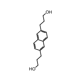 OCCCc1ccc2cc(CCCO)ccc2c1